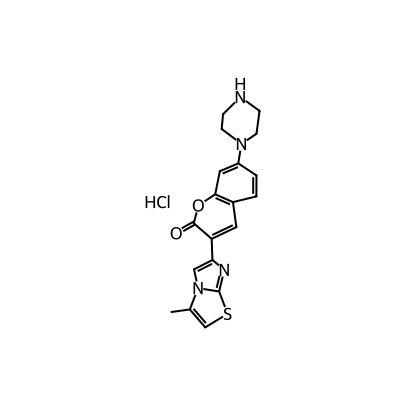 Cc1csc2nc(-c3cc4ccc(N5CCNCC5)cc4oc3=O)cn12.Cl